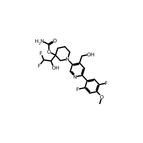 COc1cc(F)c(-c2cc(CO)c(N3CCCC(OC(N)=O)(C(O)C(F)F)C3)cn2)cc1F